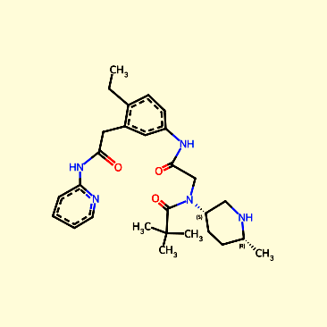 CCc1ccc(NC(=O)CN(C(=O)C(C)(C)C)[C@H]2CC[C@@H](C)NC2)cc1CC(=O)Nc1ccccn1